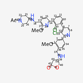 COc1cc(-c2nccc(-c3cccc(-c4ccc(CNC5CCN(C(C)=O)CC5)c(OC)n4)c3Cl)c2Cl)ccc1CN[C@@H]1COC(=O)C1